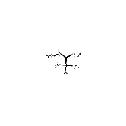 C[N+](C)(C)C(NC(=O)[O-])C(=O)O